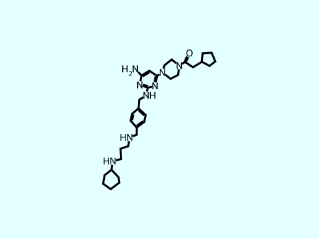 Nc1cc(N2CCN(C(=O)CC3CCCC3)CC2)nc(NCc2ccc(CNCCCNC3CCCCC3)cc2)n1